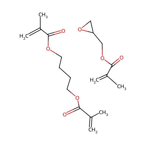 C=C(C)C(=O)OCC1CO1.C=C(C)C(=O)OCCCCOC(=O)C(=C)C